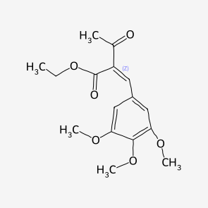 CCOC(=O)/C(=C\c1cc(OC)c(OC)c(OC)c1)C(C)=O